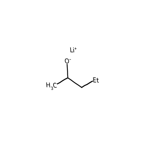 CCCC(C)[O-].[Li+]